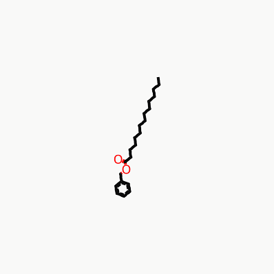 CCCCCCCCCCCCCCC(=O)OCc1ccccc1